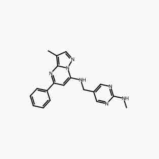 CNc1ncc(CNc2cc(-c3ccccc3)nc3c(C)cnn23)cn1